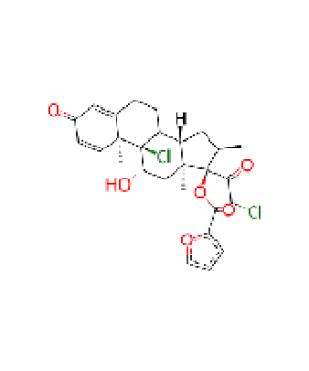 C[C@@H]1C[C@H]2C3CCC4=CC(=O)C=C[C@]4(C)[C@@]3(Cl)[C@@H](O)C[C@]2(C)[C@@]1(OC(=O)c1ccco1)C(=O)CCl